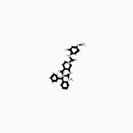 CC1=NC2CN(C(=O)Oc3ccc(OC(F)(F)F)cc3F)CCC2C(=O)N1C(c1ccccc1)c1ccccc1